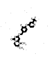 C[C@@H]1CCn2c(cc(OCc3ccc(Oc4ccnc(C(F)(F)F)c4)c(F)c3)nc2=O)N1C